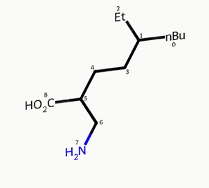 CCCCC(CC)CCC(CN)C(=O)O